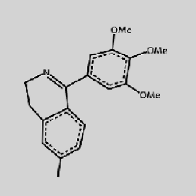 COc1cc(C2=NCCc3cc(C)ccc32)cc(OC)c1OC